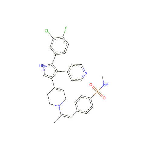 CNS(=O)(=O)c1ccc(C=C(C)N2CC=C(c3c[nH]c(-c4ccc(F)c(Cl)c4)c3-c3ccncc3)CC2)cc1